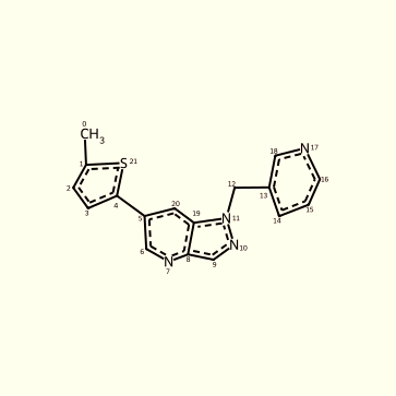 Cc1ccc(-c2cnc3cnn(Cc4cccnc4)c3c2)s1